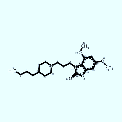 CCCCC1CCN(CCCn2c(=O)oc3cc(OC)cc(OC)c32)CC1